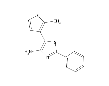 Cc1sccc1-c1sc(-c2ccccc2)nc1N